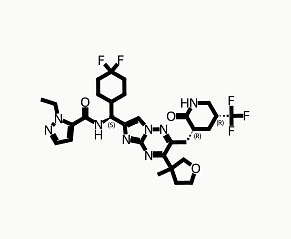 CCn1nccc1C(=O)N[C@H](c1cn2nc(C[C@H]3C[C@@H](C(F)(F)F)CNC3=O)c(C3(C)CCOC3)nc2n1)C1CCC(F)(F)CC1